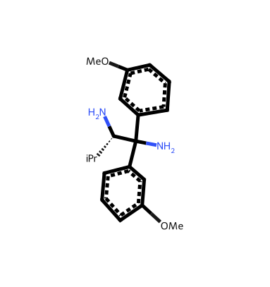 COc1cccc(C(N)(c2cccc(OC)c2)[C@@H](N)C(C)C)c1